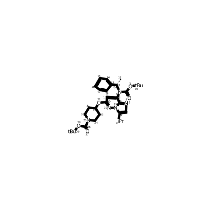 CC(C)c1cnc2c(N(C(=O)OC(C)(C)C)[C@@H](C)c3ccccc3)cc(OC3CCN(C(=O)OC(C)(C)C)CC3)nn12